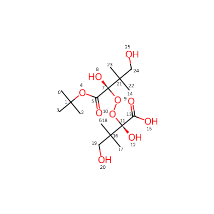 CC(C)(C)OC(=O)[C@@](O)(OO[C@](O)(C(=O)O)C(C)(C)CO)C(C)(C)CO